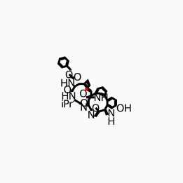 CC(C)[C@@H]1NC(=O)[C@@H](NC(=O)OCc2ccccc2)Cc2ccc3c(c2)C24c5cccc(c5NC2O3)-c2ccc(O)c3[nH]cc(c23)-c2cnc(o2)-c2nc1oc24